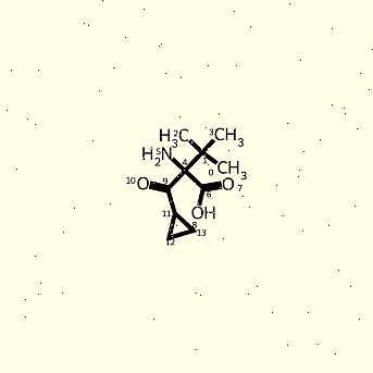 CC(C)(C)C(N)(C(=O)O)C(=O)C1CC1